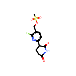 CS(=O)(=O)OCc1ccc(C2CCC(=O)NC2=O)nc1F